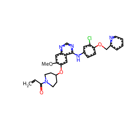 C=CC(=O)N1CCC(Oc2cc3c(Nc4ccc(OCc5ccccn5)c(Cl)c4)ncnc3cc2OC)CC1